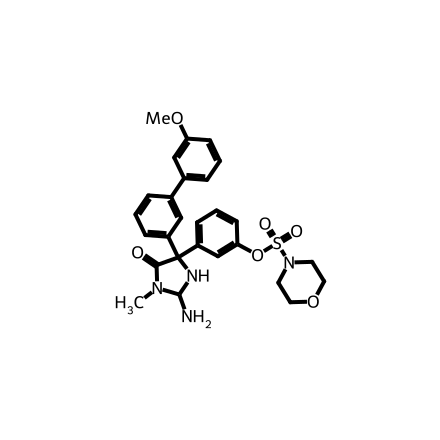 COc1cccc(-c2cccc(C3(c4cccc(OS(=O)(=O)N5CCOCC5)c4)NC(N)N(C)C3=O)c2)c1